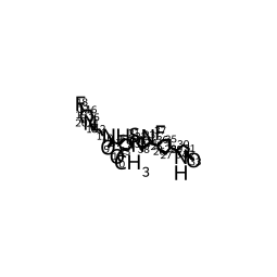 COc1cc2c(cc1C(=O)NCCCN1CCC(F)CC1)sc1nc(-c3ccc(C4CCC(=O)N4)cc3F)cn12